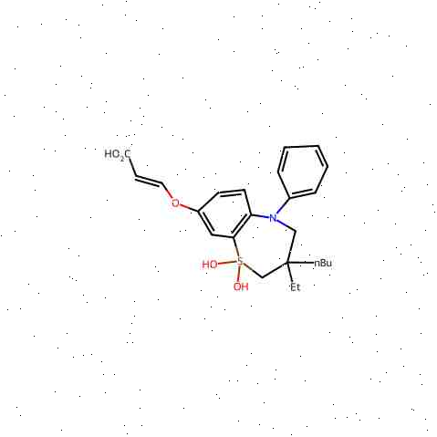 CCCCC1(CC)CN(c2ccccc2)c2ccc(OC=CC(=O)O)cc2S(O)(O)C1